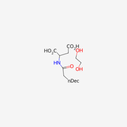 CCCCCCCCCCCC(=O)NC(CC(=O)O)C(=O)O.OCCO